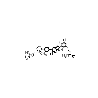 CN1[C@H](CCOC(=N)N)CCC[C@H]1c1ccc(-n2cc3cc(-c4cc(CCCC(N)C5CC5)cc(Cl)c4F)[nH]c3nc2=O)cc1